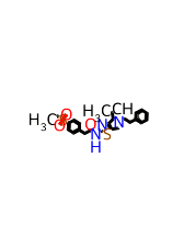 CCS(=O)(=O)c1ccc(CC(=O)Nc2nc3c(s2)CN(CCc2ccccc2)C3C(C)C)cc1